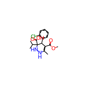 COC(=O)C1=C(C)NNC(C(=O)O)(C(C)C)C1c1ccccc1Cl